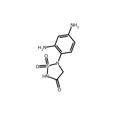 Nc1ccc(N2CC(=O)NS2(=O)=O)c(N)c1